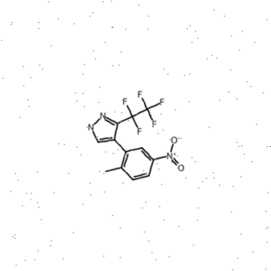 Cc1ccc([N+](=O)[O-])cc1C1=C[N]N=C1C(F)(F)C(F)(F)F